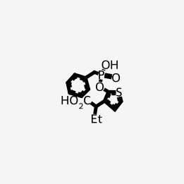 CCC(C(=O)O)c1ccsc1OP(=O)(O)Cc1ccccc1